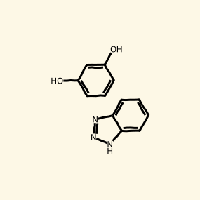 Oc1cccc(O)c1.c1ccc2[nH]nnc2c1